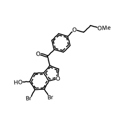 COCCOc1ccc(C(=O)c2coc3c(Br)c(Br)c(O)cc23)cc1